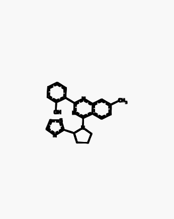 Cc1ccc2c(N3CCCC3c3nccs3)nc(-c3ccccc3O)nc2c1